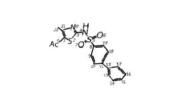 CC(=O)c1sc(NS(=O)(=O)c2ccc(-c3ccccc3)cc2)nc1C